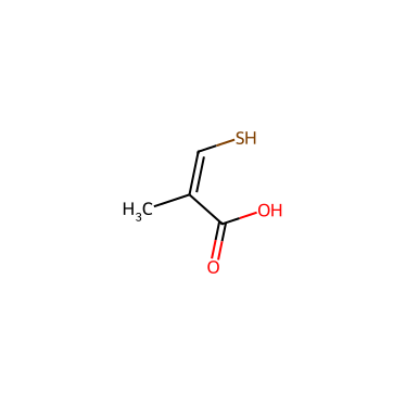 CC(=CS)C(=O)O